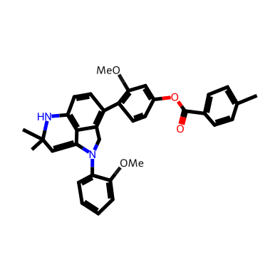 COc1cc(OC(=O)c2ccc(C)cc2)ccc1-c1ccc2c3c1CN(c1ccccc1OC)C3=CC(C)(C)N2